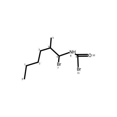 CCCCC(C)C(Br)NC(=O)Br